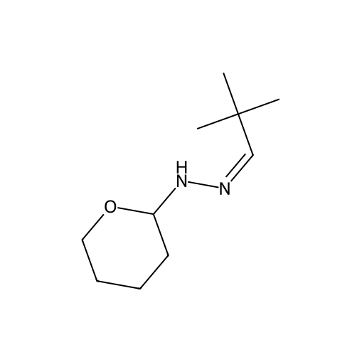 CC(C)(C)/C=N\NC1CCCCO1